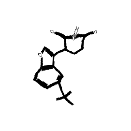 CC(C)(C)c1ccc2occ(C3CCC(=O)NC3=O)c2c1